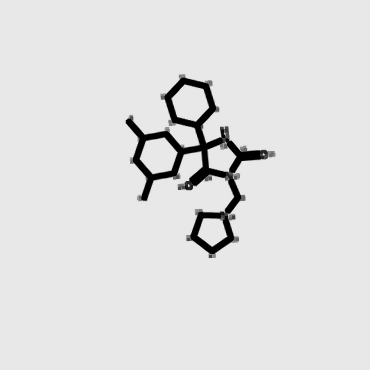 CC1CC(C)CC(C2(C3CCCCC3)NC(=O)N(CN3CCCC3)C2=O)C1